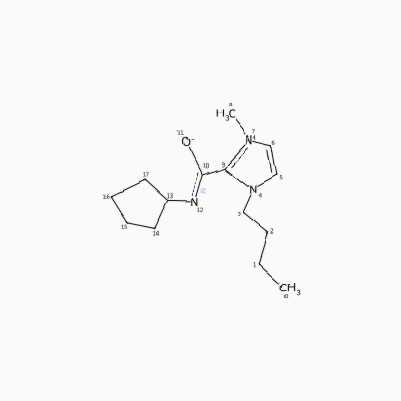 CCCCn1cc[n+](C)c1/C([O-])=N/C1CCCC1